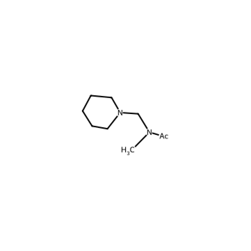 CC(=O)N(C)CN1CCCCC1